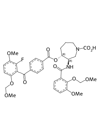 COCOc1ccc(OC)c(F)c1C(=O)c1ccc(C(=O)O[C@@H]2CCCN(C(=O)O)C[C@H]2NC(=O)c2cccc(OC)c2OCOC)cc1